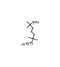 CNC(C)(C)CCCC(C)(C)N=[N+]=[N-]